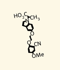 COc1ccc(OCCOc2ccc3c(ccn3C(C)C(=O)O)c2)c(C#N)c1